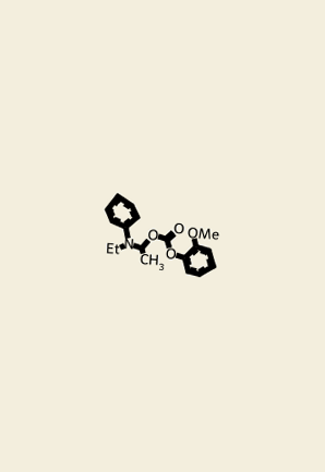 CCN(c1ccccc1)C(C)OC(=O)Oc1ccccc1OC